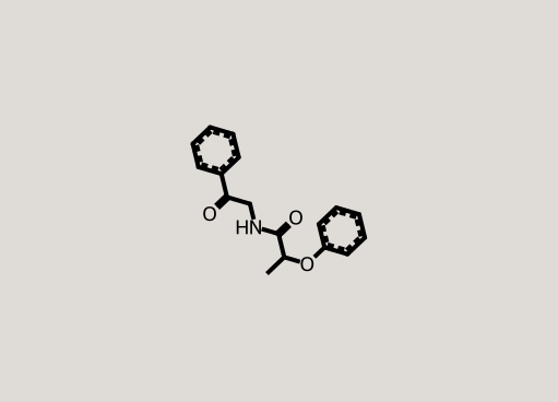 CC(Oc1ccccc1)C(=O)NCC(=O)c1ccccc1